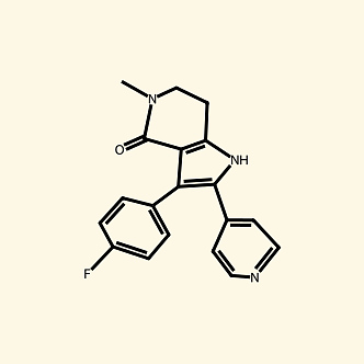 CN1CCc2[nH]c(-c3ccncc3)c(-c3ccc(F)cc3)c2C1=O